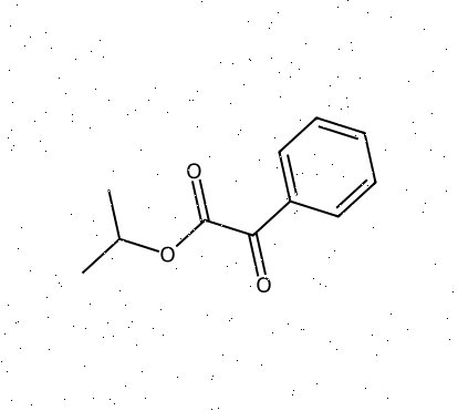 CC(C)OC(=O)C(=O)c1ccccc1